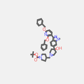 Cn1nc(-c2ccc(OCc3ccccc3)nc2OCc2ccccc2)c2ccc(C3(O)CCN(CC4CCN(C(=O)OC(C)(C)C)CC4)CC3)cc21